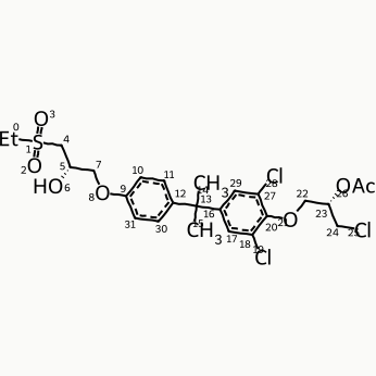 CCS(=O)(=O)C[C@@H](O)COc1ccc(C(C)(C)c2cc(Cl)c(OC[C@@H](CCl)OC(C)=O)c(Cl)c2)cc1